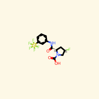 O=C(Nc1cccc(S(F)(F)(F)(F)F)c1)[C@@H]1C[C@@H](F)CN1C(=O)O